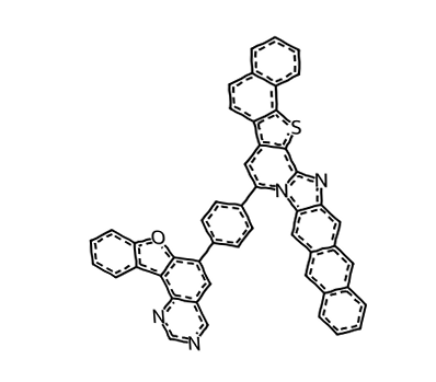 c1ccc2cc3cc4c(cc3cc2c1)nc1c2sc3c5ccccc5ccc3c2cc(-c2ccc(-c3cc5cncnc5c5c3oc3ccccc35)cc2)n41